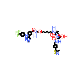 Cc1ncsc1-c1ccc(CNC(=O)[C@H]2C[C@H](O)CN2C(=O)C(NC(=O)CCCCCCOCCNC(=O)c2ccc3c(c2)c2cn(C)nc2n3-c2ccc(C(F)(F)F)cc2)C(C)(C)C)cc1